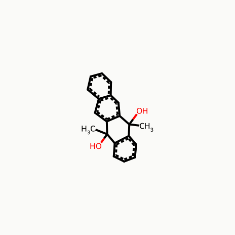 CC1(O)c2ccccc2C(C)(O)c2cc3ccccc3cc21